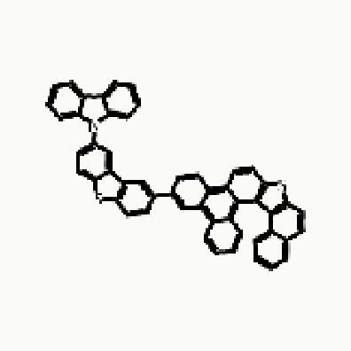 c1ccc2c(c1)ccc1sc3ccc4c5ccc(-c6ccc7sc8ccc(-n9c%10ccccc%10c%10ccccc%109)cc8c7c6)cc5c5ccccc5c4c3c12